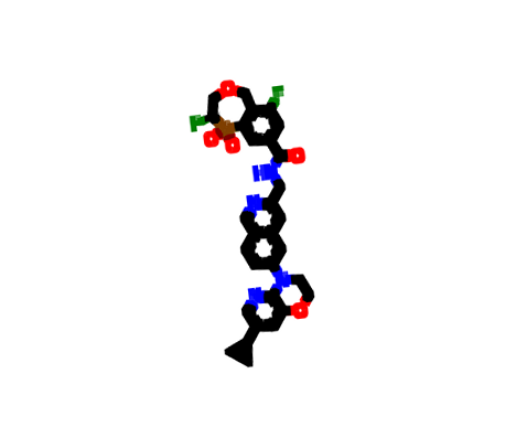 O=C(NCc1cc2cc(N3CCOc4cc(C5CC5)cnc43)ccc2cn1)c1cc(F)c2c(c1)S(=O)(=O)[C@@H](F)COC2